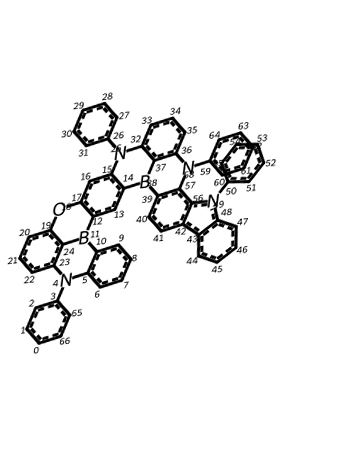 c1ccc(N2c3ccccc3B3c4cc5c(cc4Oc4cccc2c43)N(c2ccccc2)c2cccc3c2B5c2ccc4c5ccccc5n(-c5ccccc5)c4c2N3c2ccccc2)cc1